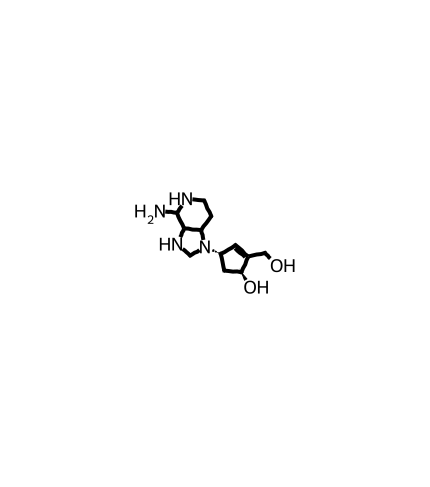 NC1NCCC2C1NCN2[C@@H]1C=C(CO)[C@@H](O)C1